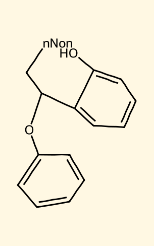 CCCCCCCCCCC(Oc1ccccc1)c1ccccc1O